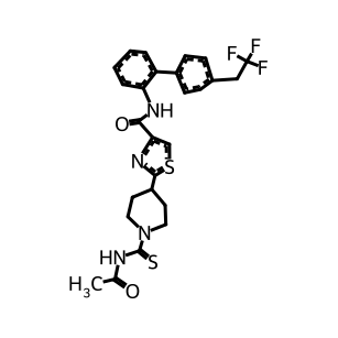 CC(=O)NC(=S)N1CCC(c2nc(C(=O)Nc3ccccc3-c3ccc(CC(F)(F)F)cc3)cs2)CC1